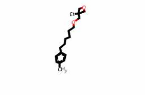 CCC1(COCCCCCCc2ccc(C)cc2)COC1